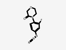 [N-]=[N+]=Nc1ccc(N2CCOCC2=O)c(F)c1